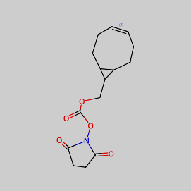 O=C(OCC1C2CC/C=C\CCC21)ON1C(=O)CCC1=O